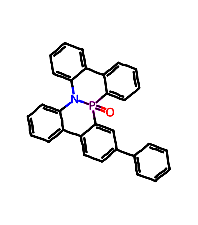 O=P12c3ccccc3-c3ccccc3N1c1ccccc1-c1ccc(-c3ccccc3)cc12